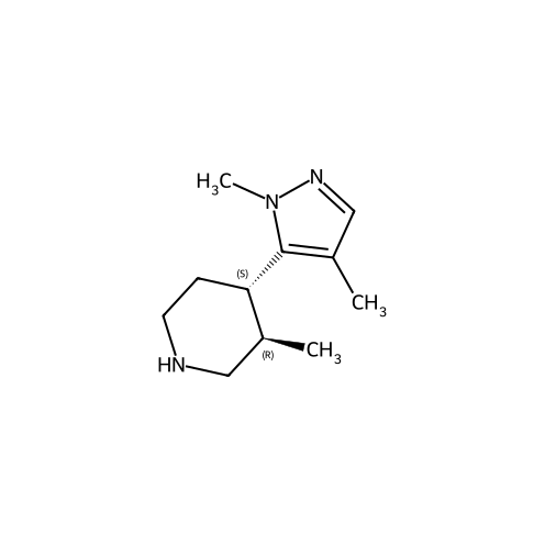 Cc1cnn(C)c1[C@H]1CCNC[C@@H]1C